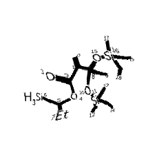 C=C(C(=O)OC([SiH3])CC)C(C)(O[Si](C)(C)C)O[Si](C)(C)C